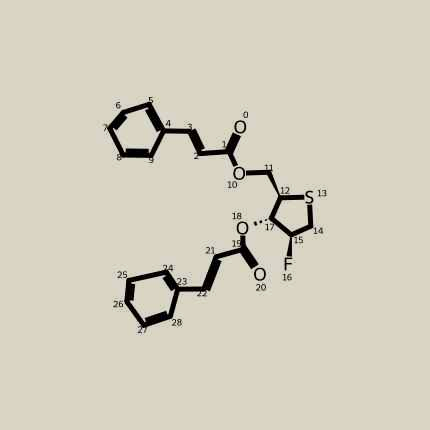 O=C(/C=C/c1ccccc1)OC[C@H]1SC[C@@H](F)[C@@H]1OC(=O)/C=C/c1ccccc1